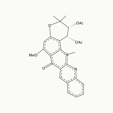 COc1cc2c(c3c1c(=O)c1cc4ccccc4nc1n3C)[C@@H](OC(C)=O)[C@@H](OC(C)=O)C(C)(C)O2